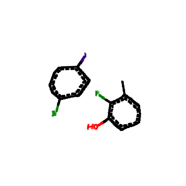 Brc1ccc(I)cc1.Cc1cccc(O)c1F